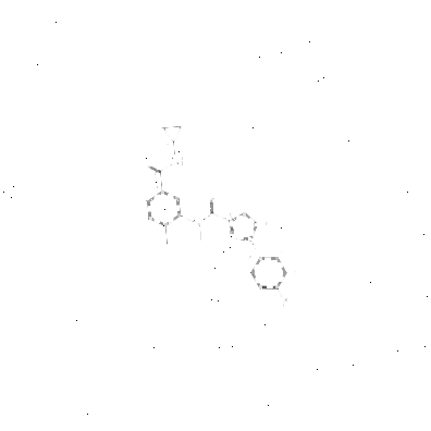 Cc1ccc(C(=O)NC2CC2)cc1NC(=O)c1ccc(-c2ccc(Cl)cc2)o1